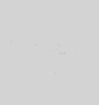 CCOC(Cc1ccc(OCCN(CCCSc2ccccc2)C(=O)Nc2ccc(F)c(F)c2)cc1)C(=O)O